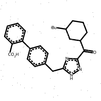 CCC(C)C1CCCC(C(=O)c2n[nH]c(Cc3ccc(-c4ccccc4C(=O)O)cc3)n2)C1